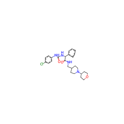 O=C(Nc1ccc(Cl)cc1)NC(C(=O)NCC1CCN(C2CCOCC2)CC1)c1ccccc1